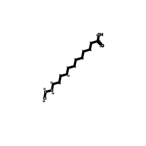 O=C(O)CCCCCCCCCCCOOCl